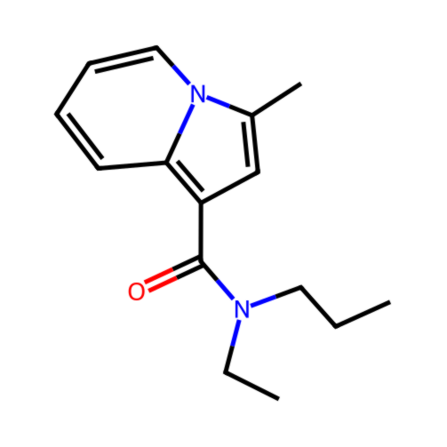 CCCN(CC)C(=O)c1cc(C)n2ccccc12